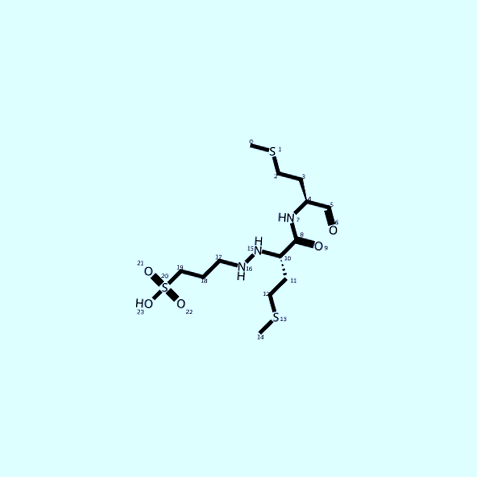 CSCC[C@@H](C=O)NC(=O)[C@H](CCSC)NNCCCS(=O)(=O)O